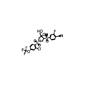 N#Cc1ccc(S(=O)(=O)C2CN(S(=O)(=O)c3ccc(OC(F)(F)F)cc3Cl)C[C@@]2(O)CO)cc1F